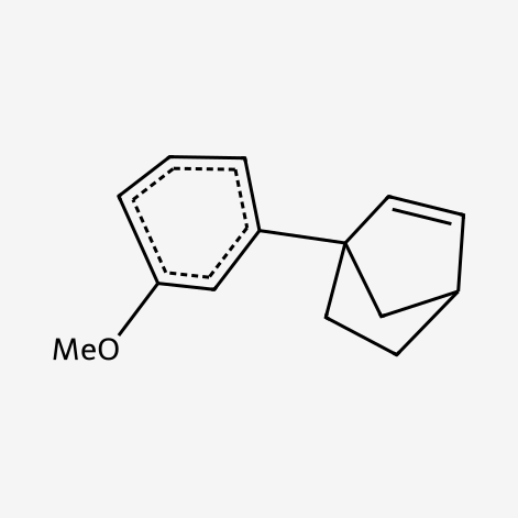 COc1cccc(C23C=CC(CC2)C3)c1